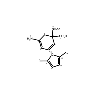 CC(=O)NC1(C(=O)O)C=CC=C(N)C1.Cc1ccc(C)o1